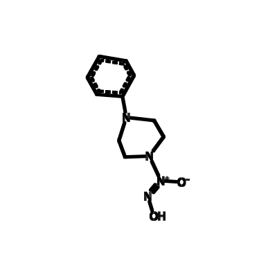 [O-][N+](=NO)N1CCN(c2ccccc2)CC1